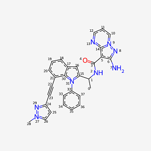 CC(NC(=O)c1c(N)nn2cccnc12)c1cc2cccc(C#Cc3ccn(C)n3)c2n1-c1ccccc1